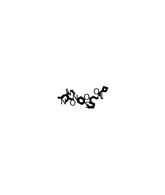 Cc1cc2c(cn1)C(=O)N(c1cccc(OC(CCN(C)C(=O)C3CCC3)c3cccs3)c1)CCN2C